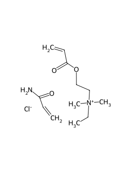 C=CC(=O)OCC[N+](C)(C)CC.C=CC(N)=O.[Cl-]